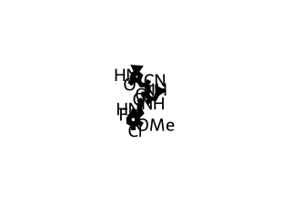 COc1c(Cl)cc(F)c2[nH]c(C(=O)NC(CC3CC3)C(=O)NC(C#N)CC3CC4(CC4)NC3=O)cc12